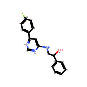 OC(CNc1cc(-c2ccc(F)cc2)ncn1)c1ccccc1